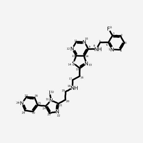 Fc1cccnc1CNc1ncnc2sc(CCNCCc3ncc(-c4ccncc4)n3I)nc12